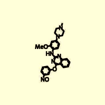 COc1cc(N2CCN(C)CC2)ccc1Nc1nc(Oc2cccc(N=O)c2)c2ccccc2n1